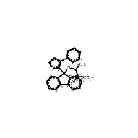 CC(OC1(c2sccc2-c2ccccc2)c2ccccc2-c2ccccc21)[C@H](N)C(=O)O